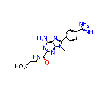 Cn1c(-c2ccc(C(=N)N)cc2)nc2c(N)nc(C(=O)NCCC(=O)O)nc21